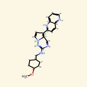 COC1CCC(CNc2ncc3c(-c4ccc5ncccc5n4)ccn3n2)CC1